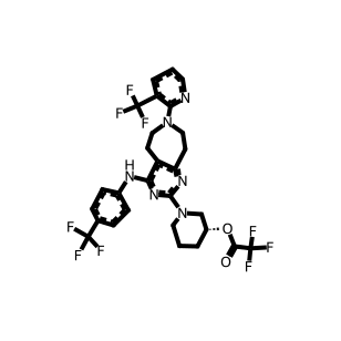 O=C(O[C@@H]1CCCN(c2nc3c(c(Nc4ccc(C(F)(F)F)cc4)n2)CCN(c2ncccc2C(F)(F)F)CC3)C1)C(F)(F)F